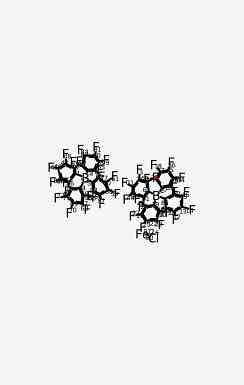 Fc1c(F)c(F)c([B-](c2c(F)c(F)c(F)c(F)c2F)(c2c(F)c(F)c(F)c(F)c2F)c2c(F)c(F)c(F)c(F)c2F)c(F)c1F.Fc1c(F)c(F)c([B-](c2c(F)c(F)c(F)c(F)c2F)(c2c(F)c(F)c(F)c(F)c2F)c2c(F)c(F)c(F)c(F)c2F)c(F)c1F.[Cl][Fe+2]